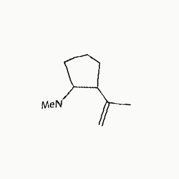 C=C(C)C1CCCC1NC